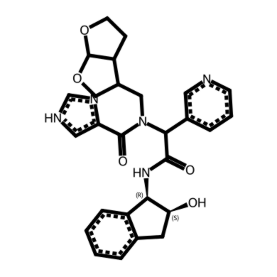 O=C(N[C@@H]1c2ccccc2C[C@@H]1O)C(c1cccnc1)N(CC1COC2OCCC12)C(=O)c1c[nH]cn1